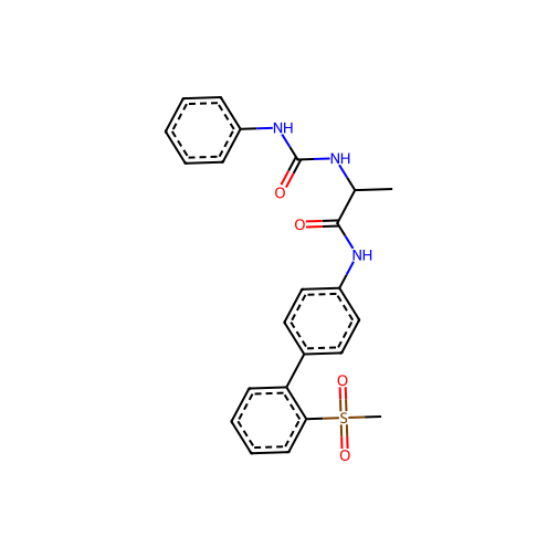 CC(NC(=O)Nc1ccccc1)C(=O)Nc1ccc(-c2ccccc2S(C)(=O)=O)cc1